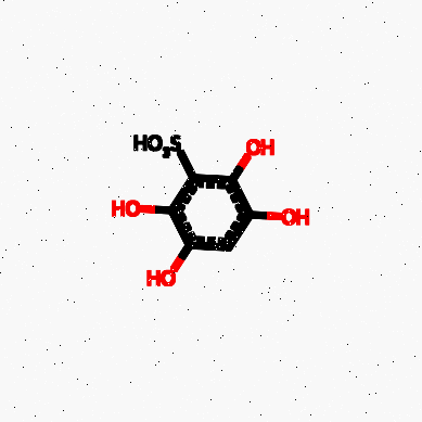 O=S(=O)(O)c1c(O)c(O)cc(O)c1O